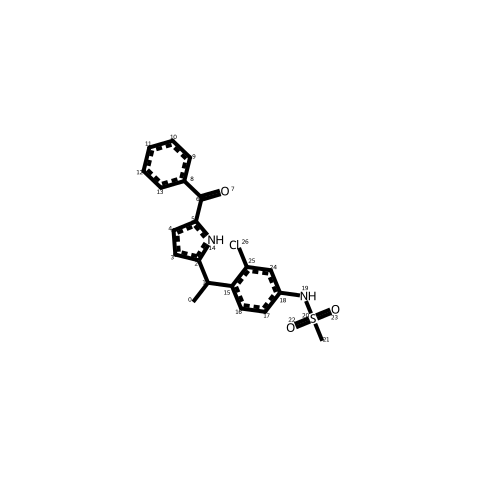 CC(c1ccc(C(=O)c2ccccc2)[nH]1)c1ccc(NS(C)(=O)=O)cc1Cl